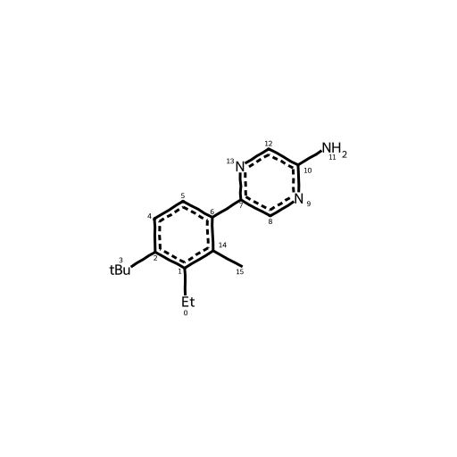 CCc1c(C(C)(C)C)ccc(-c2cnc(N)cn2)c1C